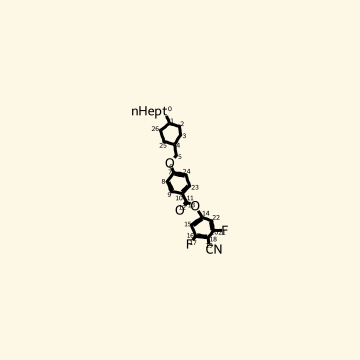 CCCCCCCC1CCC(COc2ccc(C(=O)Oc3cc(F)c(C#N)c(F)c3)cc2)CC1